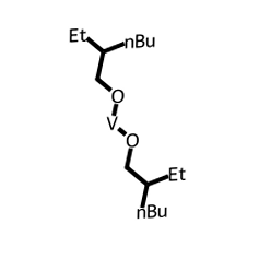 CCCCC(CC)C[O][V][O]CC(CC)CCCC